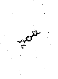 CCOC(OOC)c1ccc(C2=NN=C(C)C2)cc1